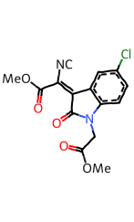 [C-]#[N+]/C(C(=O)OC)=C1/C(=O)N(CC(=O)OC)c2ccc(Cl)cc21